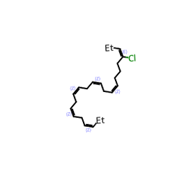 CC/C=C\C/C=C\C/C=C\C/C=C\C/C=C\CCC/C(Cl)=C\CC